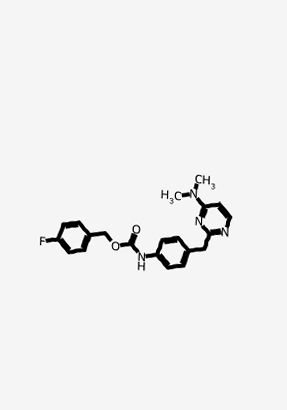 CN(C)c1[c]cnc(Cc2ccc(NC(=O)OCc3ccc(F)cc3)cc2)n1